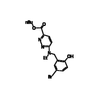 CCCCOC(=O)c1ccc(N(CC)Cc2cc(Br)ccc2O)nn1